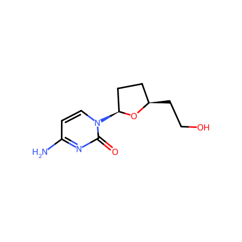 Nc1ccn([C@H]2CC[C@@H](CCO)O2)c(=O)n1